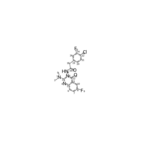 CN(C)c1nc2ccc(F)cc2c(=O)n1NC(=O)Cc1ccc(Cl)c(F)c1